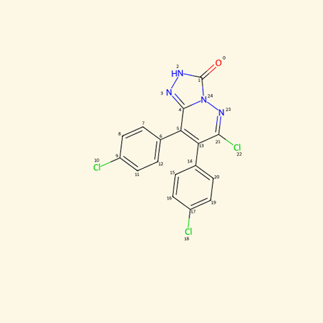 O=c1[nH]nc2c(-c3ccc(Cl)cc3)c(-c3ccc(Cl)cc3)c(Cl)nn12